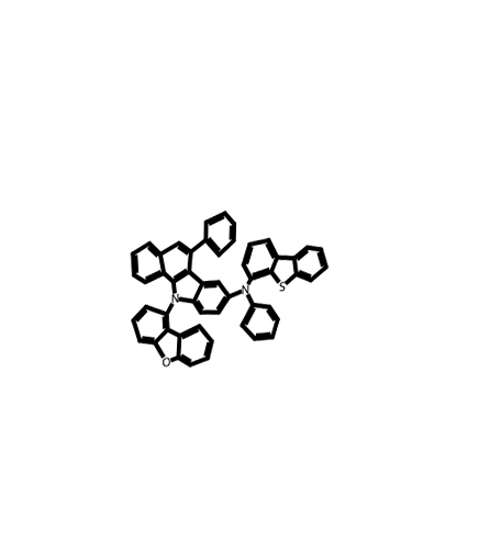 c1ccc(-c2cc3ccccc3c3c2c2cc(N(c4ccccc4)c4cccc5c4sc4ccccc45)ccc2n3-c2cccc3oc4ccccc4c23)cc1